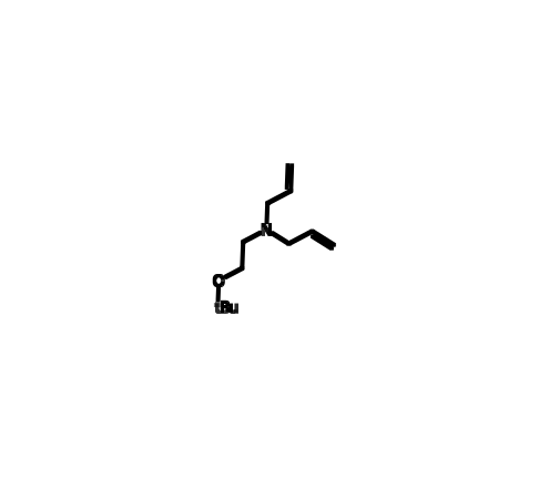 C=CCN(CC=C)CCOC(C)(C)C